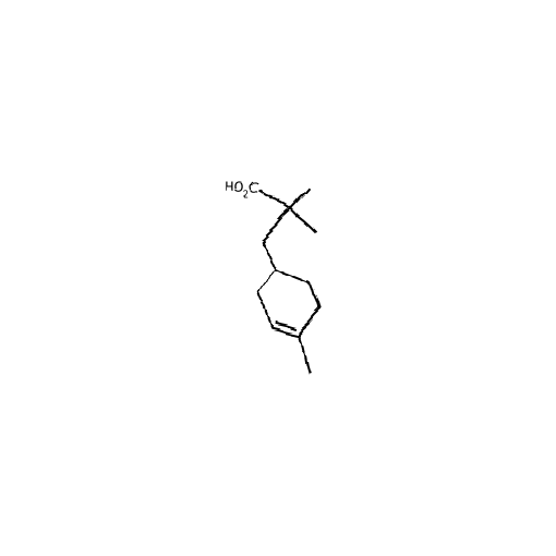 CC1=CCC(CC(C)(C)C(=O)O)CC1